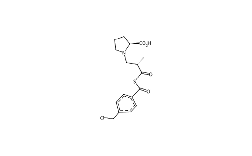 C[C@@H](CN1CCC[C@H]1C(=O)O)C(=O)SC(=O)c1ccc(CCl)cc1